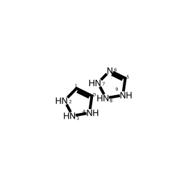 C1=CNNN1.C1=NNNN1